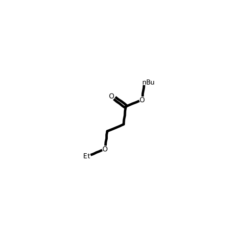 CCCCOC(=O)CCOCC